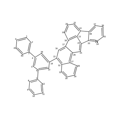 c1ccc(-c2cc(-c3ccccc3)cc(-c3cc4c5cccc6c5c(cc4c4ccccc34)-c3ncccc3-6)c2)cc1